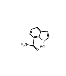 Cl.NC(=O)c1cccc2ccsc12